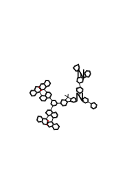 CC1(C)c2cc(-c3cc(-c4ccc(-c5cccc6ccccc56)c5c(-c6cccc7ccccc67)cccc45)cc(-c4ccc(-c5cccc6ccccc56)c5c(-c6cccc7ccccc67)cccc45)c3)ccc2-c2ccc(N(c3ccc(-c4ccccc4)cc3)c3ccc(-c4ccc5c(c4)c4ccccc4n5-c4ccccc4)cc3)cc21